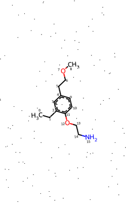 CCc1cc(CCOC)ccc1OCCN